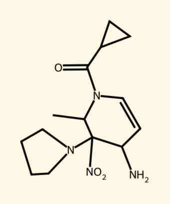 CC1N(C(=O)C2CC2)C=CC(N)C1(N1CCCC1)[N+](=O)[O-]